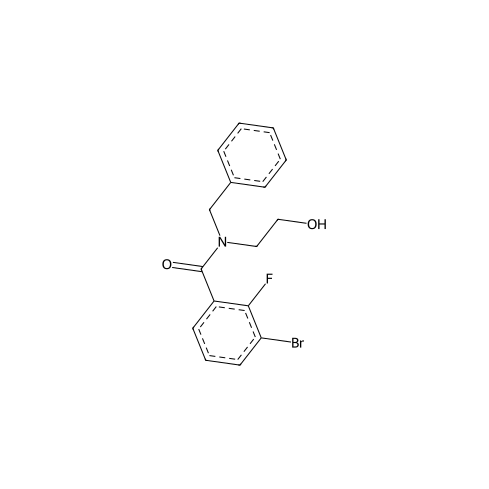 O=C(c1cccc(Br)c1F)N(CCO)Cc1ccccc1